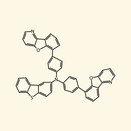 c1cnc2c(c1)oc1c(-c3ccc(N(c4ccc(-c5cccc6c5oc5cccnc56)cc4)c4ccc5sc6ccccc6c5c4)cc3)cccc12